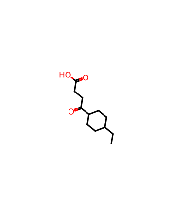 CCC1CCC(C(=O)CCC(=O)O)CC1